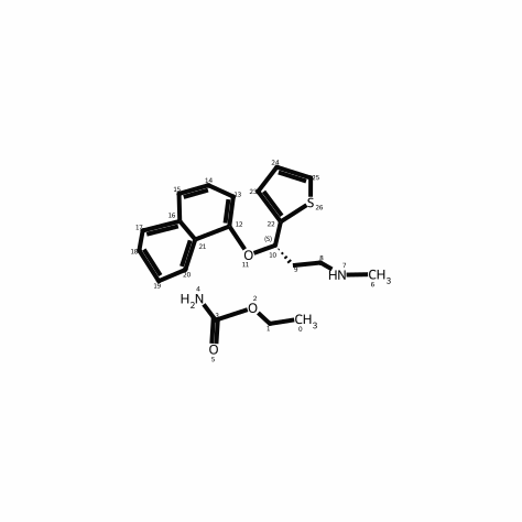 CCOC(N)=O.CNCC[C@H](Oc1cccc2ccccc12)c1cccs1